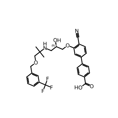 CC(C)(COCc1cccc(C(F)(F)F)c1)NC[C@@H](O)COc1cc(-c2ccc(C(=O)O)cc2)ccc1C#N